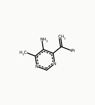 C=C(c1ncnc(C)c1N)C(C)C